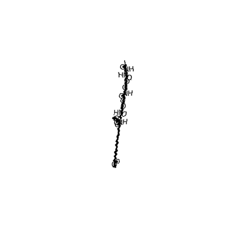 CC(C)(C)OC(=O)CCCCCCCCCCCCCCCCCCC(=O)N[C@@H](CCC(=O)NCCOCCOCC(=O)NCCOCCOCC(=O)NCCNC(=O)CI)C(=O)OC(C)(C)C